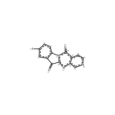 O=C1c2cc(F)ccc2-n2c1nc1cnccc1c2=O